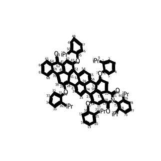 CC(C)c1ccccc1Oc1cc2c3c(cc(Oc4ccccc4C(C)C)c4c5ccc6c7c(Oc8ccccc8C(C)C)cc8c9c(cc(Oc%10ccccc%10C(C)C)c(c%10ccc(c1c34)c5c%106)c97)C(=O)c1ccccc1-8)C(=O)N(c1c(C(C)C)cccc1C(C)C)C2=O